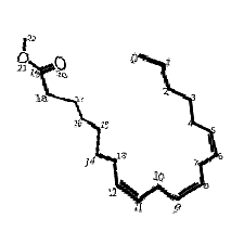 CCCCC/C=C\C/C=C\C/C=C\CCCCCCC(=O)OC